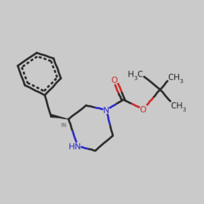 CC(C)(C)OC(=O)N1CCN[C@@H](Cc2ccccc2)C1